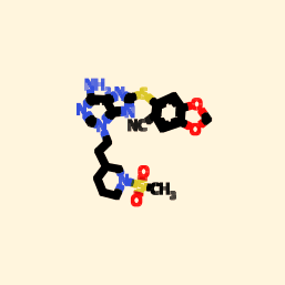 CS(=O)(=O)N1CCCC(CCn2cnc(N)c3nc(Sc4cc5c(cc4C#N)OCO5)nc2-3)C1